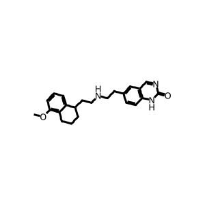 COc1cccc2c1CCCC2CCNCCc1ccc2[nH]c(=O)ncc2c1